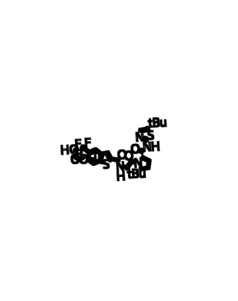 CC(C)(C)c1cnc(NC(=O)[C@@H]2CCCN2C(=O)C(NC(=O)c2cc3cc(C(F)(F)P(=O)(O)O)ccc3s2)C(C)(C)C)s1